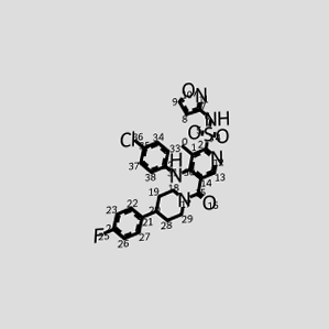 Cc1c(S(=O)(=O)Nc2ccon2)ncc(C(=O)N2CCC(c3ccc(F)cc3)CC2)c1Nc1ccc(Cl)cc1